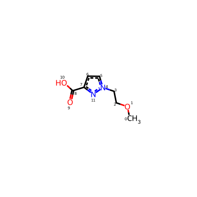 COCCn1ccc(C(=O)O)n1